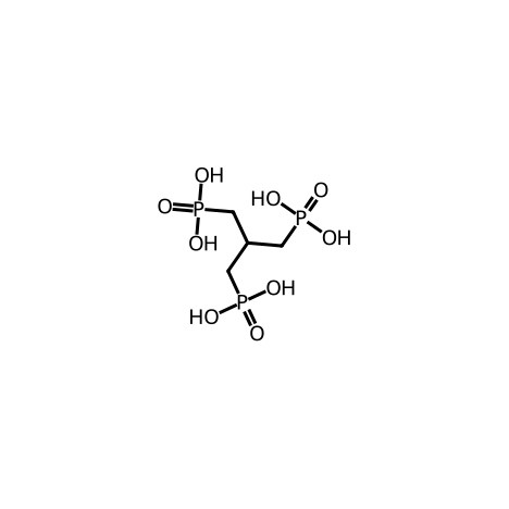 O=P(O)(O)CC(CP(=O)(O)O)CP(=O)(O)O